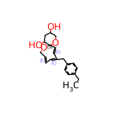 CCc1ccc(CC2=C\C=C\CO[C@@]3(\C=C\2)OCC(O)CC3O)cc1